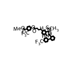 COC(=O)c1ccc(OC(=O)CCCc2ccc(NC(=O)c3ccccc3-c3ccc(C(F)(F)F)cc3)c(C(=O)N(C)C)c2)cc1C(F)(F)F